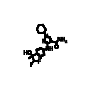 CC(O)(c1ccc(Nc2nn(C3CCCCC3)cc2C(N)=O)cn1)C(F)F